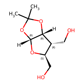 CC1(C)O[C@H]2O[C@H](CO)[C@@H](CO)[C@H]2O1